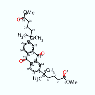 COC(=O)CCCC(C)(C)c1ccc2c(c1)C(=O)c1cc(C(C)(C)CCCC(=O)OC)ccc1C2=O